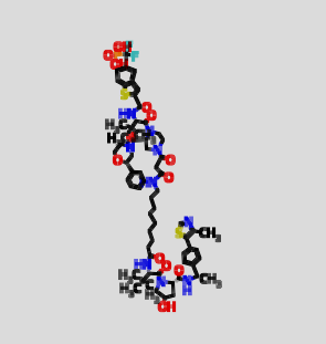 Cc1ncsc1-c1ccc([C@H](C)NC(=O)[C@@H]2C[C@@H](O)CN2C(=O)[C@@H](NC(=O)CCCCCCCCNC(=O)CC(=O)N2CCN(C(=O)[C@@H](NC(=O)c3cc4cc(C(F)(F)P(=O)(O)O)ccc4s3)C(C)(C)C)[C@H](C(=O)N3CCO[C@H](c4ccccc4)C3)C2)C(C)(C)C)cc1